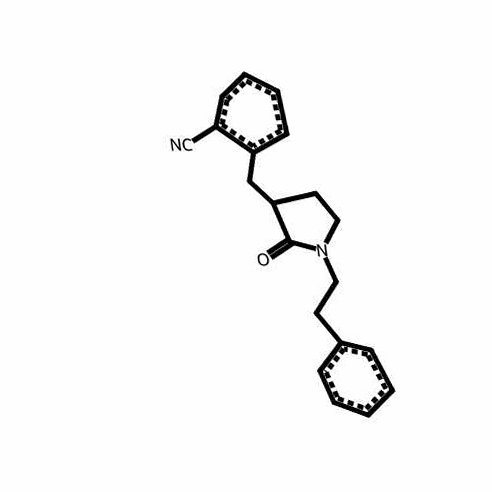 N#Cc1ccccc1CC1CCN(CCc2ccccc2)C1=O